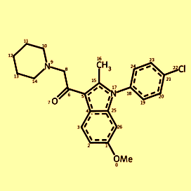 COc1ccc2c(C(=O)CN3CCCCC3)c(C)n(-c3ccc(Cl)cc3)c2c1